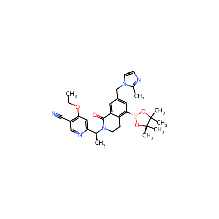 CCOc1cc([C@H](C)N2CCc3c(B4OC(C)(C)C(C)(C)O4)cc(Cn4ccnc4C)cc3C2=O)ncc1C#N